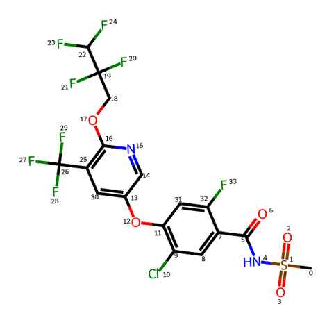 CS(=O)(=O)NC(=O)c1cc(Cl)c(Oc2cnc(OCC(F)(F)C(F)F)c(C(F)(F)F)c2)cc1F